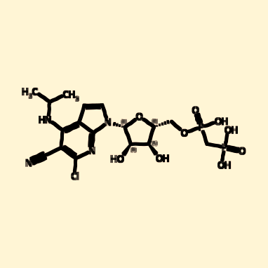 CC(C)Nc1c(C#N)c(Cl)nc2c1ccn2[C@@H]1O[C@H](COP(=O)(O)CP(=O)(O)O)[C@@H](O)[C@H]1O